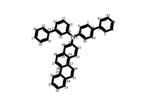 c1ccc(-c2ccc(N(c3cccc(-c4ccccc4)c3)c3ccc4c(ccc5c6ccccc6ccc45)c3)cc2)cc1